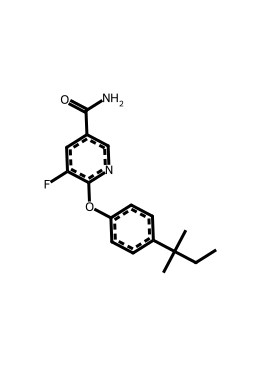 CCC(C)(C)c1ccc(Oc2ncc(C(N)=O)cc2F)cc1